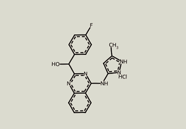 Cc1cc(Nc2nc(C(O)c3ccc(F)cc3)nc3ccccc23)n[nH]1.Cl